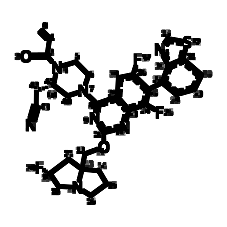 C=CC(=O)N1CCN(c2nc(OCC34CCCN3C[C@H](F)C4)nc3c(F)c(-c4cccc5scnc45)c(F)cc23)C[C@@H]1CC#N